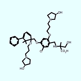 CC(CO)(NCc1cc(Cl)c(OCC2(OCCCN3CC[C@@H](O)C3)C=CC=C(c3ccccc3)C2(C)C)cc1OCCCN1CC[C@@H](O)C1)C(=O)O